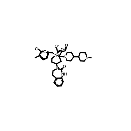 Cc1ccc(C[N@+]2(C(=O)[O-])CCC(N3CCc4ccccc4NC3=O)CC2(CC=O)N2CCC(C3CCN(C)CC3)CC2)cc1Cl